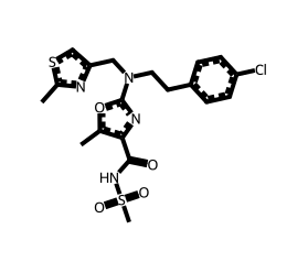 Cc1nc(CN(CCc2ccc(Cl)cc2)c2nc(C(=O)NS(C)(=O)=O)c(C)o2)cs1